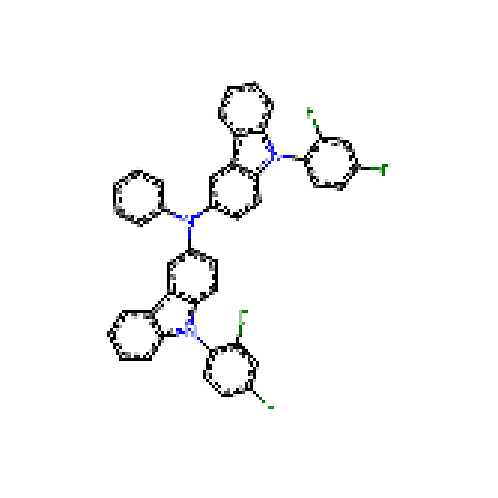 Fc1ccc(-n2c3ccccc3c3cc(N(c4ccccc4)c4ccc5c(c4)c4ccccc4n5-c4ccc(F)cc4F)ccc32)c(F)c1